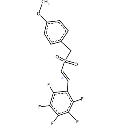 COc1ccc(CS(=O)(=O)/C=C/c2c(F)c(F)c(F)c(F)c2F)cc1